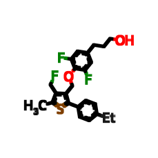 CCc1ccc(-c2sc(C)c(CF)c2COc2c(F)cc(CCCO)cc2F)cc1